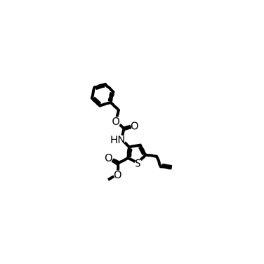 C=CCc1cc(NC(=O)OCc2ccccc2)c(C(=O)OC)s1